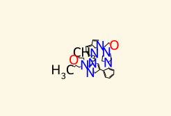 C[C@@H]1CN(c2ncc(-c3ccccc3N3CCN(C(C=O)n4ccc5cccnc54)CC3)cn2)C[C@@H](C)O1